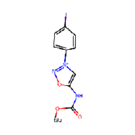 CC(C)(C)OC(=O)Nc1c[n+](-c2ccc(I)cc2)no1